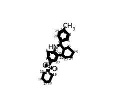 Cc1ccc(C2Nc3ccc(S(=O)(=O)N4CCCCC4)cc3C3CCCCC32)cc1